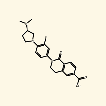 CN(C)[C@@H]1CCN(c2ccc(N3CCc4cc(C(=O)O)ccc4C3=O)cc2F)C1